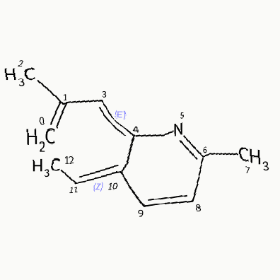 C=C(C)/C=c1/nc(C)cc/c1=C/C